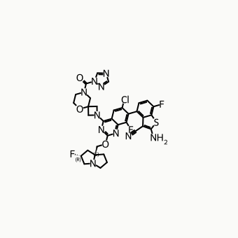 N#Cc1c(N)sc2c(F)ccc(-c3c(Cl)cc4c(N5CC6(CN(C(=O)n7cncn7)CCO6)C5)nc(OC[C@@]56CCCN5C[C@H](F)C6)nc4c3F)c12